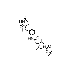 CC1CN(C(=O)OC(C)(C)C)CC(C)N1CC(=O)Nc1cccc(NC2CCC(=O)NC2=O)c1